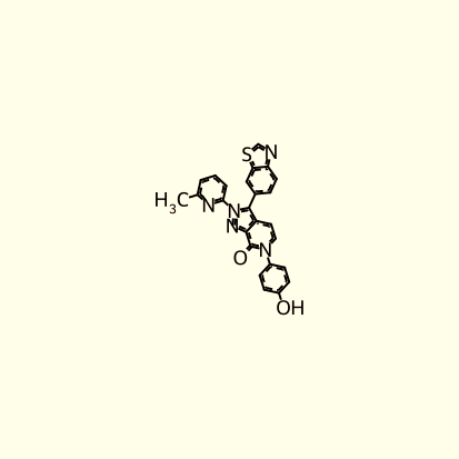 Cc1cccc(-n2nc3c(=O)n(-c4ccc(O)cc4)ccc3c2-c2ccc3ncsc3c2)n1